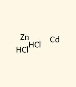 Cl.Cl.[Cd].[Zn]